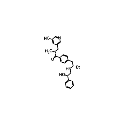 CC[C@@H](Cc1ccc(C(=O)N(C)Cc2cncc(C#N)c2)cc1)NC[C@H](O)c1ccccc1